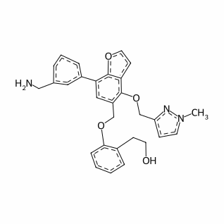 Cn1ccc(COc2c(COc3ccccc3CCO)cc(-c3cccc(CN)c3)c3occc23)n1